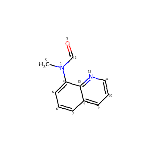 CN([C]=O)c1cccc2cccnc12